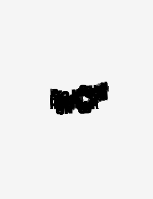 CC(C)C(=O)Nc1nc2c(ncn2[C@H]2O[C@@H]3CO[P@](=O)(S)O[C@H]4C[C@H](n5cnc6cncnc65)C[C@@H]4CNS(=O)(=O)O[C@@H]2C3)c(=O)[nH]1